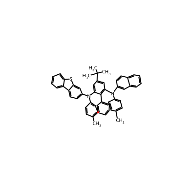 Cc1ccc(N(c2ccc3ccccc3c2)c2cc(C(C)(C)C)cc(N(c3ccc(C)cc3)c3ccc4c(c3)sc3ccccc34)c2-c2ccccc2)cc1